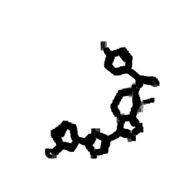 C[C@@H]1c2nnc(-c3csc(-c4cccc(Cl)c4)n3)n2CCN1C(=O)c1ccc(F)cc1